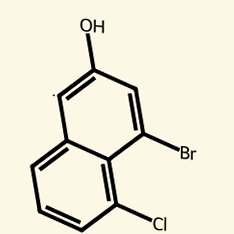 Oc1[c]c2cccc(Cl)c2c(Br)c1